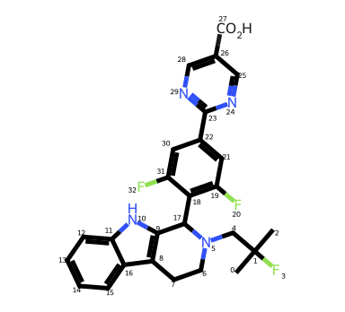 CC(C)(F)CN1CCc2c([nH]c3ccccc23)C1c1c(F)cc(-c2ncc(C(=O)O)cn2)cc1F